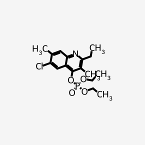 CCOP(=O)(OCC)Oc1c(C)c(CC)nc2cc(C)c(Cl)cc12